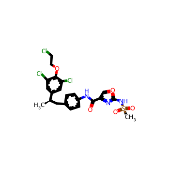 C[C@H](Cc1ccc(NC(=O)c2coc(NS(C)(=O)=O)n2)cc1)c1cc(Cl)c(OCCCl)c(Cl)c1